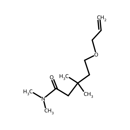 C=CCOCCC(C)(C)CC(=O)N(C)C